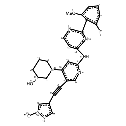 COc1cccc(F)c1-c1nccc(Nc2cc(N3CCC[C@@H](O)C3)c(C#Cc3cnn(C(F)(F)F)c3)cn2)n1